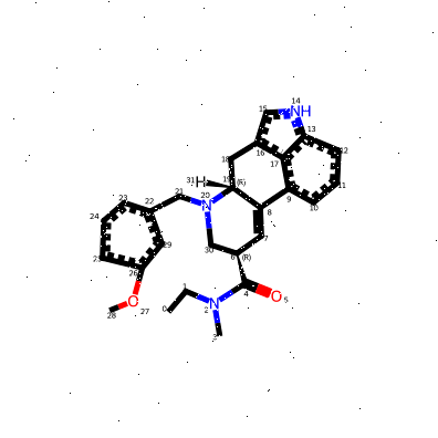 CCN(C)C(=O)[C@@H]1C=C2c3cccc4[nH]cc(c34)C[C@H]2N(Cc2cccc(OC)c2)C1